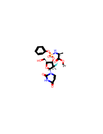 CC(C)OC(=O)[C@H](C)N[P@@](=O)(Oc1ccccc1)O[C@@H]1[C@@H](CO)O[C@@H](n2ccc(=O)[nH]c2=O)[C@]1(C)F